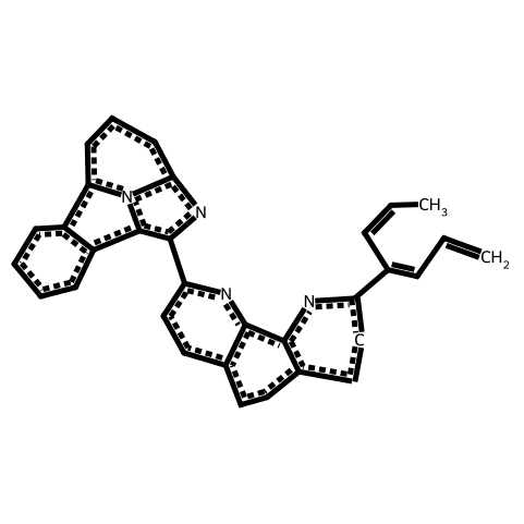 C=C/C=C(\C=C/C)c1ccc2ccc3ccc(-c4nc5cccc6c7ccccc7c4n56)nc3c2n1